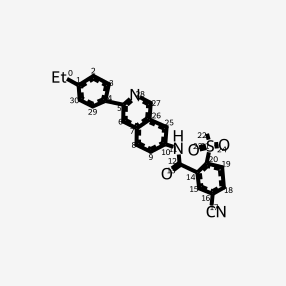 CCc1ccc(-c2cc3ccc(NC(=O)c4cc(C#N)ccc4S(C)(=O)=O)cc3cn2)cc1